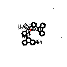 CCCC1=Cc2c(-c3cc4ccccc4c4ccccc34)cccc2[CH]1[Zr]([CH3])([CH3])(=[SiH2])[CH]1C(CCC)=Cc2c(-c3cc4ccccc4c4ccccc34)cccc21.Cl.Cl